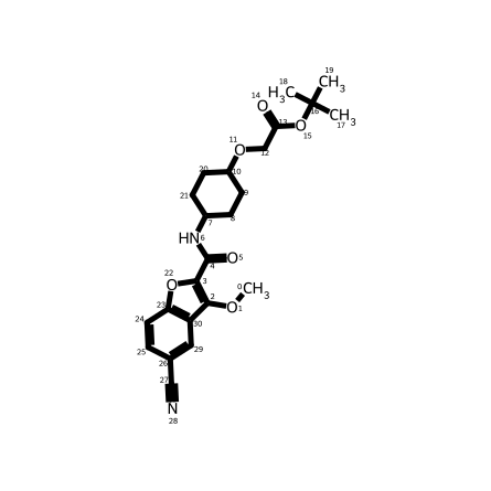 COc1c(C(=O)NC2CCC(OCC(=O)OC(C)(C)C)CC2)oc2ccc(C#N)cc12